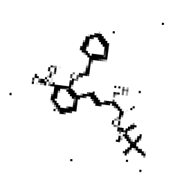 C[C@H](O[Si](C)(C)C(C)(C)C)[C@@H](O)C=Cc1cccc([N+](=O)[O-])c1OCc1ccccc1